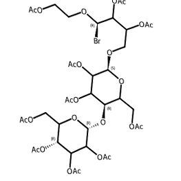 CC(=O)OCCO[C@H](Br)C(OC(C)=O)C(CO[C@H]1OC(COC(C)=O)[C@@H](O[C@H]2OC(COC(C)=O)[C@@H](OC(C)=O)C(OC(C)=O)C2OC(C)=O)C(OC(C)=O)C1OC(C)=O)OC(C)=O